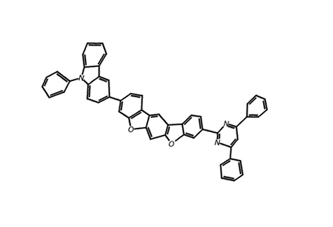 c1ccc(-c2cc(-c3ccccc3)nc(-c3ccc4c(c3)oc3cc5oc6cc(-c7ccc8c(c7)c7ccccc7n8-c7ccccc7)ccc6c5cc34)n2)cc1